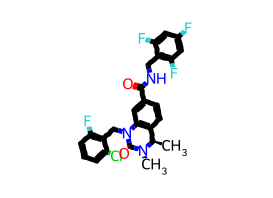 C[C@@H]1c2ccc(C(=O)NCc3c(F)cc(F)cc3F)cc2N(Cc2c(F)cccc2Cl)C(=O)N1C